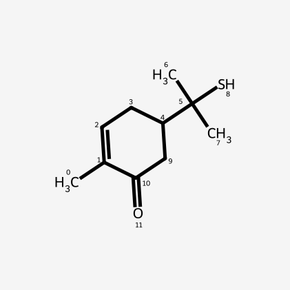 CC1=CCC(C(C)(C)S)CC1=O